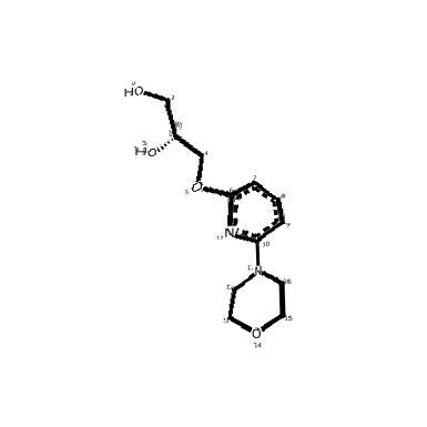 OC[C@@H](O)COc1cccc(N2CCOCC2)n1